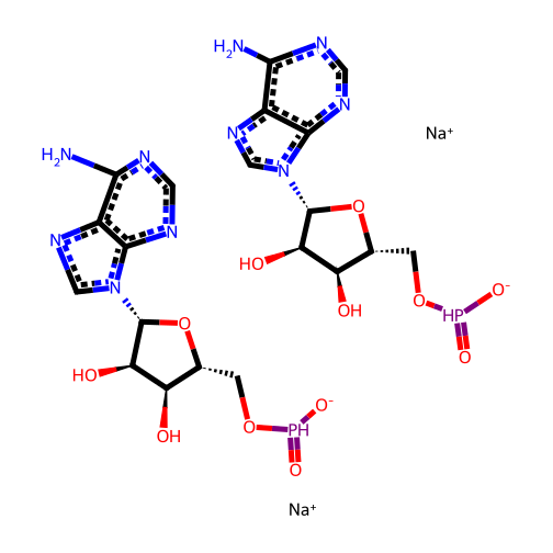 Nc1ncnc2c1ncn2[C@@H]1O[C@H](CO[PH](=O)[O-])[C@@H](O)[C@H]1O.Nc1ncnc2c1ncn2[C@@H]1O[C@H](CO[PH](=O)[O-])[C@@H](O)[C@H]1O.[Na+].[Na+]